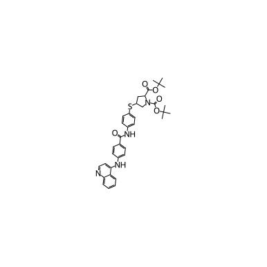 CC(C)(C)OC(=O)C1CC(Sc2ccc(NC(=O)c3ccc(Nc4ccnc5ccccc45)cc3)cc2)CN1C(=O)OC(C)(C)C